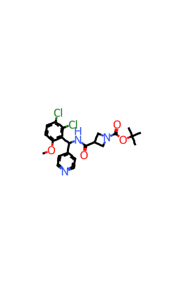 COc1ccc(Cl)c(Cl)c1C(NC(=O)C1CN(C(=O)OC(C)(C)C)C1)c1ccncc1